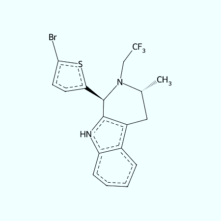 C[C@@H]1Cc2c([nH]c3ccccc23)[C@@H](c2ccc(Br)s2)N1CC(F)(F)F